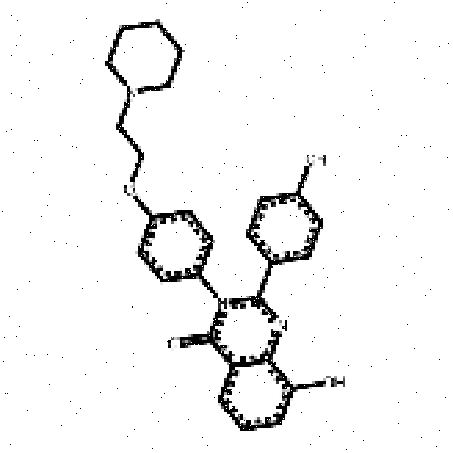 O=c1c2cccc(O)c2nc(-c2ccc(O)cc2)n1-c1ccc(OCCN2CCCCC2)cc1